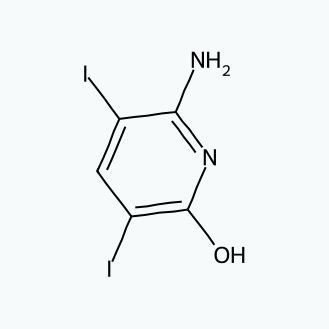 Nc1nc(O)c(I)cc1I